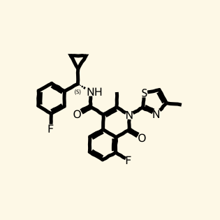 Cc1csc(-n2c(C)c(C(=O)N[C@H](c3cccc(F)c3)C3CC3)c3cccc(F)c3c2=O)n1